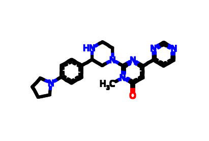 Cn1c(N2CCNC(c3ccc(N4CCCC4)cc3)C2)nc(-c2ccncn2)cc1=O